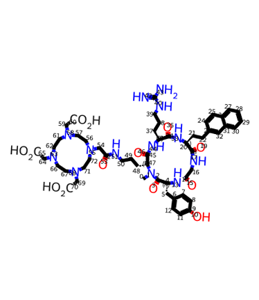 CN1C(=O)[C@@H](Cc2ccc(O)cc2)NC(=O)CNC(=O)[C@H](CCc2ccc3ccccc3c2)NC(=O)[C@H](CCCNC(=N)N)NC(=O)[C@H]1CCCNC(=O)CN1CCN(CC(=O)O)CCN(CC(=O)O)CCN(CC(=O)O)CC1